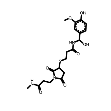 CNC(=O)CCN1C(=O)CC(SCCC(=O)NC(O)c2ccc(O)c(OC)c2)C1=O